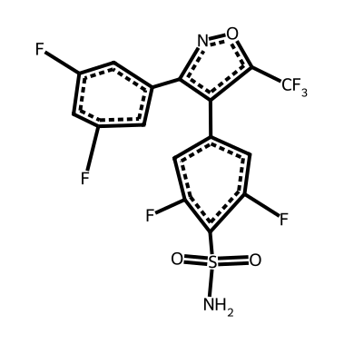 NS(=O)(=O)c1c(F)cc(-c2c(-c3cc(F)cc(F)c3)noc2C(F)(F)F)cc1F